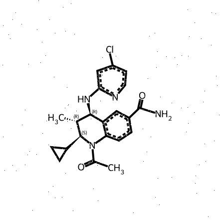 CC(=O)N1c2ccc(C(N)=O)cc2[C@H](Nc2cc(Cl)ccn2)[C@@H](C)[C@@H]1C1CC1